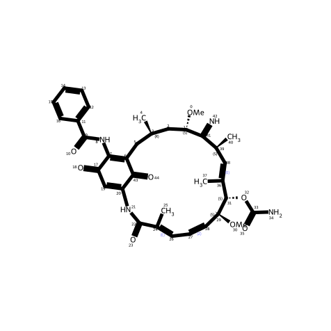 CO[C@H]1C[C@H](C)CC2=C(NC(=O)c3ccccc3)C(=O)C=C(NC(=O)/C(C)=C/C=C\[C@H](OC)[C@@H](OC(N)=O)/C(C)=C/[C@H](C)C1=N)C2=O